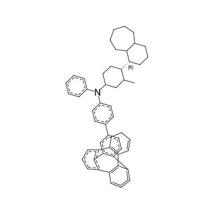 CC1CC(N(c2ccccc2)c2ccc(-c3ccc4c(c3)-c3c5cccc3C3=C(C=CCC3)C3=C5C=C=C=C34)cc2)CCC1[C@H]1CCCC2CCCCCC21